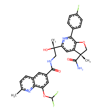 Cc1ccc2cc(C(=O)NC[C@](O)(c3cc4c(c(-c5ccc(F)cc5)n3)OC[C@]4(C)C(N)=O)C(F)(F)F)cc(OC(F)F)c2n1